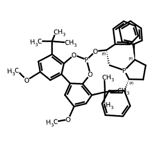 COc1cc(C(C)(C)C)c2op(O[C@@H](CP3[C@@H](c4ccccc4)CC[C@@H]3c3ccccc3)c3ccccc3)oc3c(C(C)(C)C)cc(OC)cc3c2c1